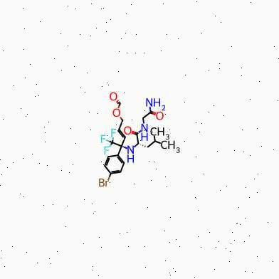 CC(C)C[C@H](N[C@@](C=CCOC=O)(c1ccc(Br)cc1)C(F)(F)F)C(=O)NCC(N)=O